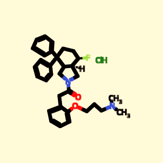 CN(C)CCCOc1ccccc1CC(=O)N1CC2[C@H](C1)[C@H](F)CCC2(c1ccccc1)c1ccccc1.Cl